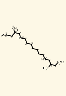 CNCC(C)CNCCCCCCCNCC(C)CNC